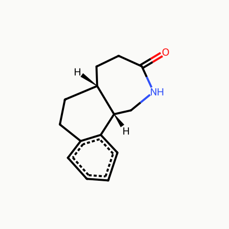 O=C1CC[C@H]2CCc3ccccc3[C@H]2CN1